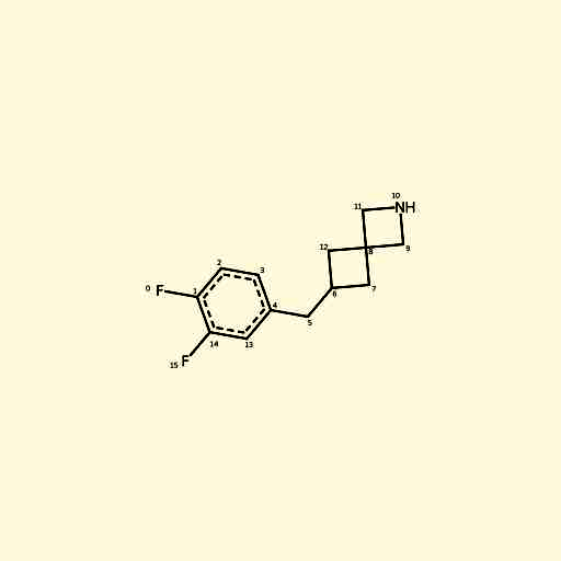 Fc1ccc(CC2CC3(CNC3)C2)cc1F